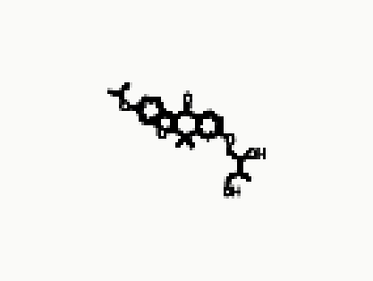 CC(C)Oc1ccc2c3c(oc2c1)C(C)(C)c1cc(OCC(O)C(C)CO)ccc1C3=O